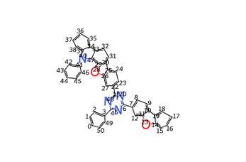 c1ccc(-c2nc(-c3ccc4c(c3)oc3ccccc34)nc(-c3ccc4c(c3)oc3c4ccc4c5ccccc5n(-c5ccccc5)c43)n2)cc1